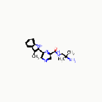 Cc1c(-c2cncc(C(=O)NCC(C)(C)N)n2)[nH]c2ccccc12